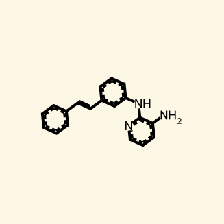 Nc1cccnc1Nc1cccc(C=Cc2ccccc2)c1